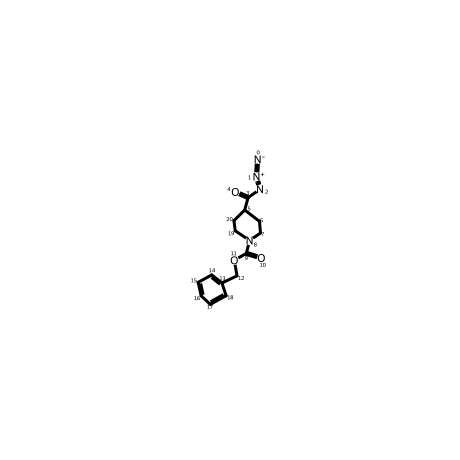 [N-]=[N+]=NC(=O)C1CCN(C(=O)OCc2ccccc2)CC1